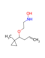 C=CCC(OCCNO)C1(C)CC1